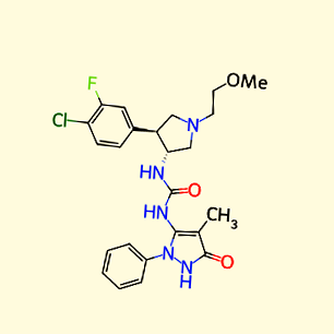 COCCN1C[C@H](NC(=O)Nc2c(C)c(=O)[nH]n2-c2ccccc2)[C@@H](c2ccc(Cl)c(F)c2)C1